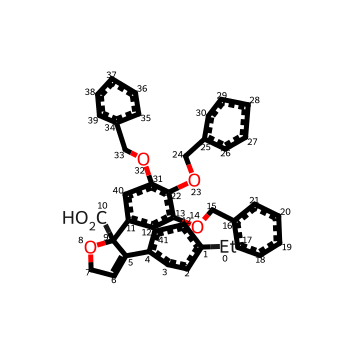 CCc1ccc(C2=CCOC2(C(=O)O)c2cc(OCc3ccccc3)c(OCc3ccccc3)c(OCc3ccccc3)c2)cc1